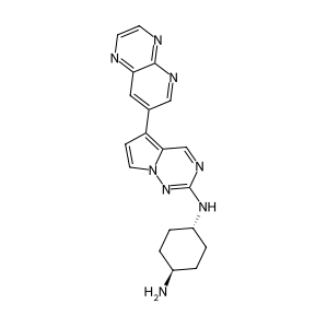 N[C@H]1CC[C@H](Nc2ncc3c(-c4cnc5nccnc5c4)ccn3n2)CC1